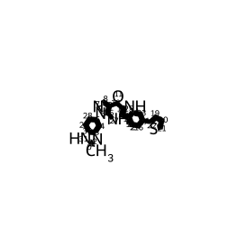 Cc1nc2cc(-n3ncc(C(=O)c4cc5ccc(-c6cccs6)cc5[nH]4)c3N)ccc2[nH]1